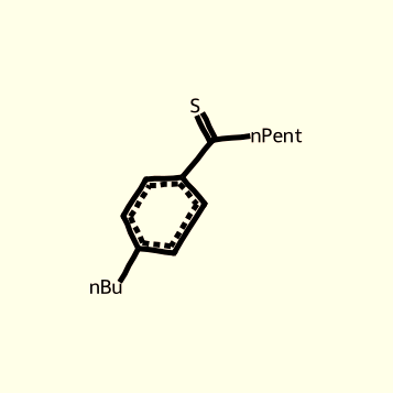 CCCCCC(=S)c1ccc(CCCC)cc1